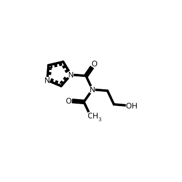 CC(=O)N(CCO)C(=O)n1ccnc1